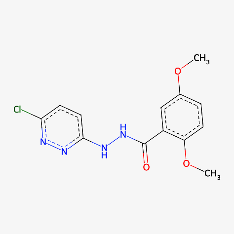 COc1ccc(OC)c(C(=O)NNc2ccc(Cl)nn2)c1